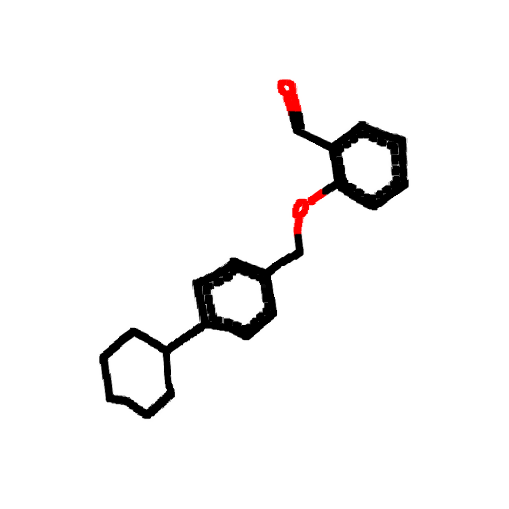 O=Cc1ccccc1OCc1ccc(C2CCCCC2)cc1